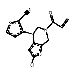 C=CC(=O)N1Cc2sc(Cl)cc2[C@@H](c2ccsc2C#N)C1